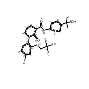 CC(C)(O)c1ccc(NC(=O)c2cccn(-c3ccc(F)cc3OCC(F)(F)F)c2=O)cc1